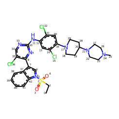 CCS(=O)(=O)n1cc(-c2nc(Nc3cc(Cl)c(N4CCC(N5CCN(C)CC5)CC4)cc3Cl)ncc2Cl)c2ccccc21